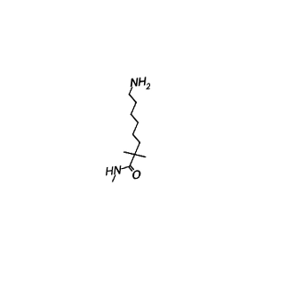 CNC(=O)C(C)(C)CCCCCCN